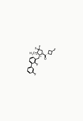 C[C@@H]1[C@H](Cc2cccc(-c3cccc(F)c3)c2F)N(C(=O)[C@H]2C[C@H](F)C2)CC1(F)F